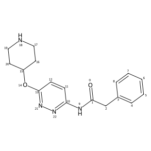 O=C(Cc1ccccc1)Nc1ccc(OC2CCNCC2)nn1